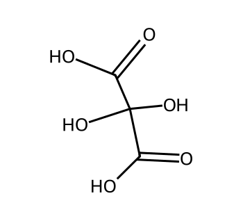 O=C(O)C(O)(O)C(=O)O